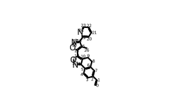 C=Cc1ccc2c(c1)CCc1c-2noc1-c1onc(-c2ccccn2)c1C